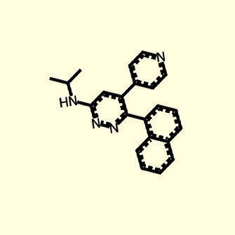 CC(C)Nc1cc(-c2ccncc2)c(-c2cccc3ccccc23)nn1